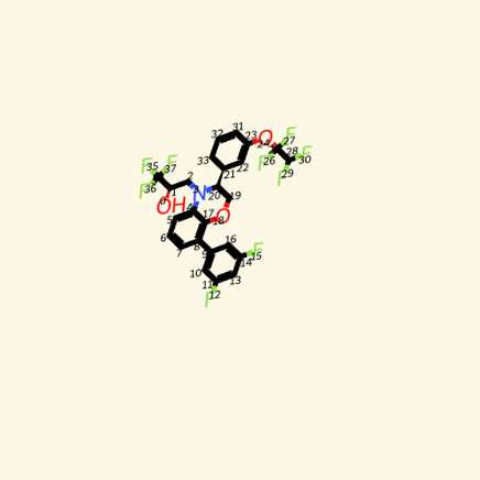 O[C@H](CN1c2cccc(-c3cc(F)cc(F)c3)c2OCC1[C@@H]1C=C(OC(F)(F)C(F)F)C=CC1)C(F)(F)F